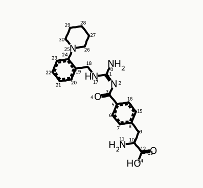 NC(=NC(=O)c1ccc(CC(N)C(=O)O)cc1)NCc1ccccc1N1CCCCC1